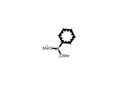 COB(OC)c1ccccc1